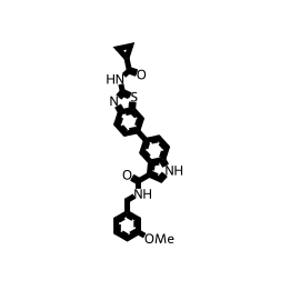 COc1cccc(CNC(=O)c2c[nH]c3ccc(-c4ccc5nc(NC(=O)C6CC6)sc5c4)cc23)c1